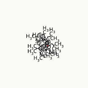 CC(C)C[Si]12O[Si]3(CCCN)O[Si]4(CC(C)C)O[Si](CC(C)C)(O1)O[Si]1(CC(C)C)O[Si](CC(C)C)(O2)O[Si](CC(C)C)(O3)O[Si](CC(C)C)(O4)O1